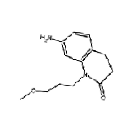 COCCCN1C(=O)CCc2ccc(N)cc21